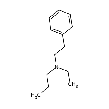 CCCN(CC)CCc1ccccc1